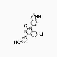 O=c1nc(N2CC[C@@H](O)C2)c2ccc(Cl)cc2n1-c1ccc2[nH]ncc2c1